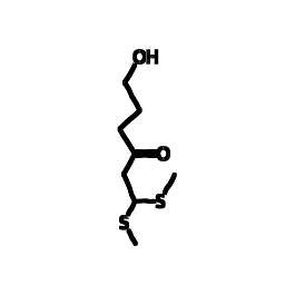 CSC(CC(=O)CCCO)SC